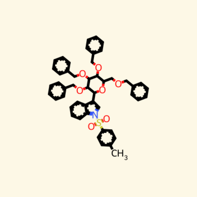 Cc1ccc(S(=O)(=O)n2cc(C3OC(COCc4ccccc4)C(OCc4ccccc4)C(OCc4ccccc4)C3OCc3ccccc3)c3ccccc32)cc1